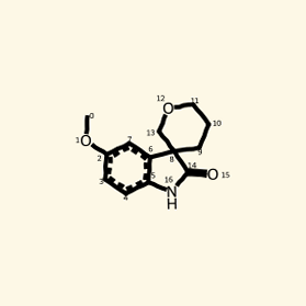 COc1ccc2c(c1)C1(CCCOC1)C(=O)N2